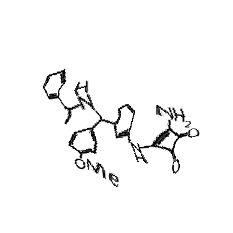 COc1ccc(C(NC(C)c2ccccc2)c2cccc(Nc3c(N)c(=O)c3=O)c2)cc1